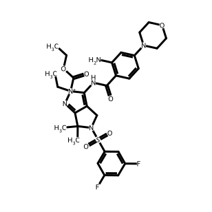 CCOC(=O)[N+]1(CC)N=C2C(=C1NC(=O)c1ccc(N3CCOCC3)cc1N)CN(S(=O)(=O)c1cc(F)cc(F)c1)C2(C)C